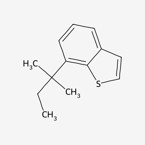 CCC(C)(C)c1cccc2ccsc12